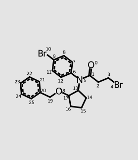 O=C(CCBr)N(c1ccc(Br)cc1)C1CCCC1OCc1ccccc1